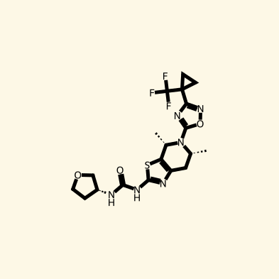 C[C@@H]1Cc2nc(NC(=O)N[C@@H]3CCOC3)sc2[C@H](C)N1c1nc(C2(C(F)(F)F)CC2)no1